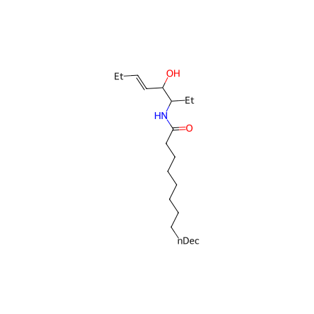 CC/C=C/C(O)C(CC)NC(=O)CCCCCCCCCCCCCCCCC